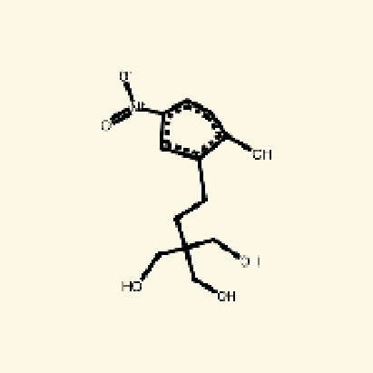 O=[N+]([O-])c1ccc(O)c(CCC(CO)(CO)CO)c1